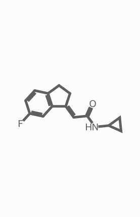 O=C(/C=C1\CCc2ccc(F)cc21)NC1CC1